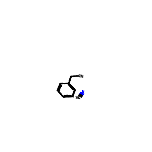 C#N.N#CCc1ccccc1